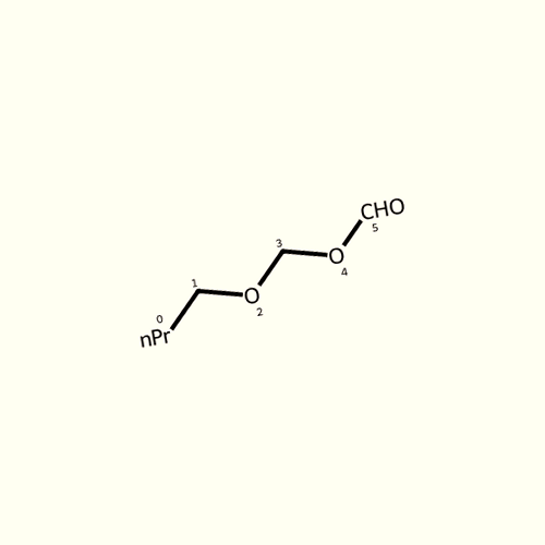 CCCCOCOC=O